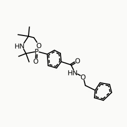 CC1(C)COP(=O)(c2ccc(C(=O)NOCc3ccccc3)cc2)C(C)(C)N1